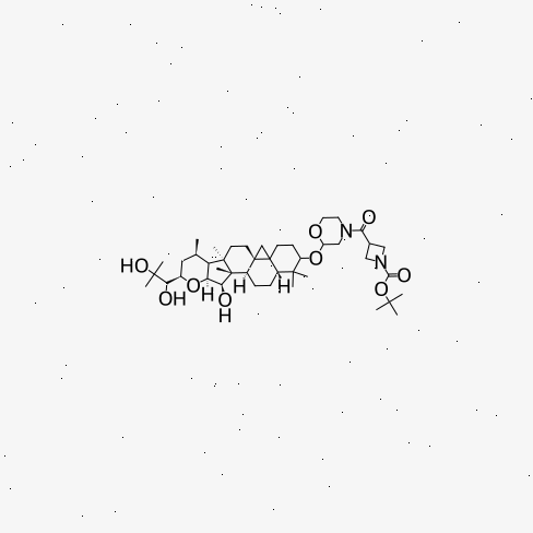 C[C@@H]1C[C@H](C(O)C(C)(C)O)O[C@H]2C1[C@@]1(C)CC[C@@]34CC35CCC(OC3CN(C(=O)C6CN(C(=O)OC(C)(C)C)C6)CCO3)C(C)(C)[C@@H]5CC[C@H]4[C@]1(C)[C@H]2O